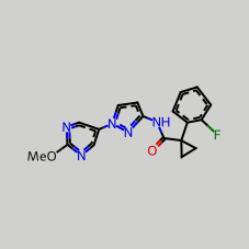 COc1ncc(-n2ccc(NC(=O)C3(c4ccccc4F)CC3)n2)cn1